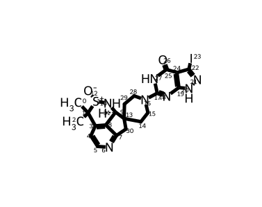 CC1(C)c2ccnc3c2[C@@H](N[S+]1[O-])C1(CCN(c2nc4[nH]nc(I)c4c(=O)[nH]2)CC1)C3